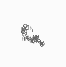 CC(C)NC(=O)O[C@@H]1CC[C@H](c2cc(Nc3nccc4c(COC5CCOC5)nn(C)c34)n[nH]2)C1